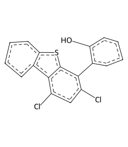 Oc1ccccc1-c1c(Cl)cc(Cl)c2c1sc1ccccc12